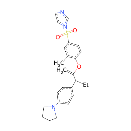 C=C(Oc1ccc(S(=O)(=O)n2ccnc2)cc1C)C(CC)c1ccc(N2CCCC2)cc1